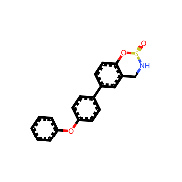 O=S1NCc2cc(-c3ccc(Oc4ccccc4)cc3)ccc2O1